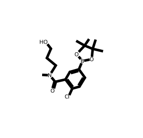 CN(CCCO)C(=O)c1cc(B2OC(C)(C)C(C)(C)O2)ccc1Cl